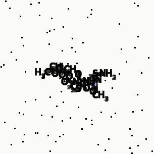 CO/N=C(\C(=O)NC1C(=O)N2C(C(=O)OC(C)OC(=O)OC(C)C)=CCS[C@H]12)c1csc(N)n1